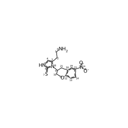 NCCc1c[nH]c(=S)n1C1COc2ccc([N+](=O)[O-])cc2C1